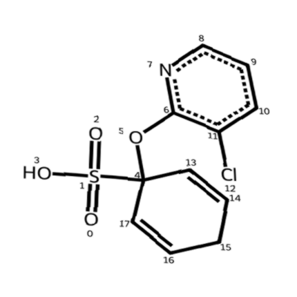 O=S(=O)(O)C1(Oc2ncccc2Cl)C=CCC=C1